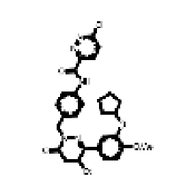 CCC1CC(=O)N(Cc2ccc(NC(=O)c3ccc(Cl)nn3)cc2)N=C1c1ccc(OC)c(OC2CCCC2)c1